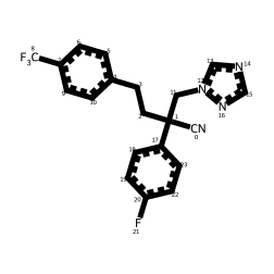 N#CC(CCc1ccc(C(F)(F)F)cc1)(Cn1cncn1)c1ccc(F)cc1